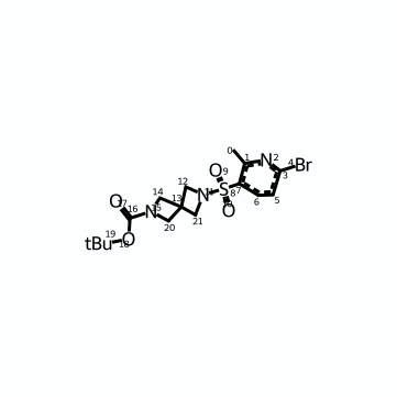 Cc1nc(Br)ccc1S(=O)(=O)N1CC2(CN(C(=O)OC(C)(C)C)C2)C1